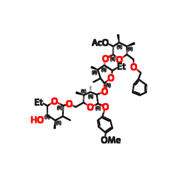 CCC1O[C@@H](OCC2O[C@H](Oc3ccc(OC)cc3)C(O[C@@H]3OC(CC)[C@@H](O[C@@H]4OC(COCc5ccccc5)[C@H](C)[C@H](C)C4OC(C)=O)[C@H](C)C3C)[C@@H](C)[C@@H]2C)C(C)[C@@H](C)[C@@H]1O